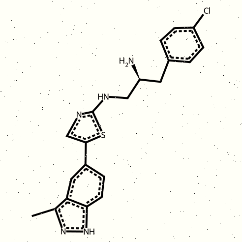 Cc1n[nH]c2ccc(-c3cnc(NC[C@@H](N)Cc4ccc(Cl)cc4)s3)cc12